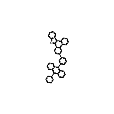 c1ccc(-c2c3ccccc3c(-c3cccc(-c4ccc5c(c4)c4ccccc4c4c6ccccc6oc54)c3)c3ccccc23)cc1